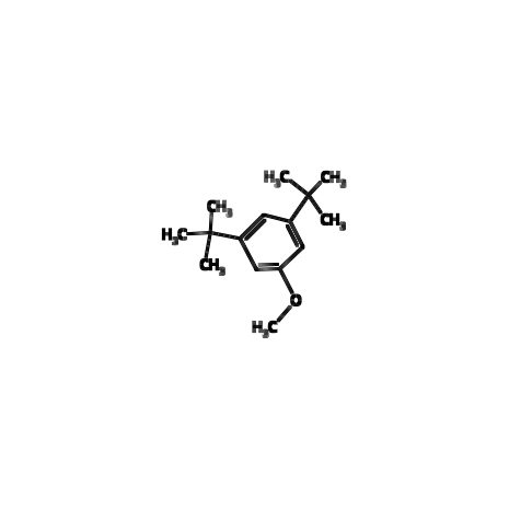 COc1cc(C(C)(C)C)cc(C(C)(C)C)c1